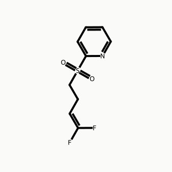 O=S(=O)(CCC=C(F)F)c1ccccn1